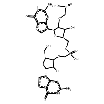 Nc1nc2c(ncn2[C@@H]2O[C@H](CO)C(OCP(=O)(O)OC[C@H]3O[C@@H](n4cnc5c(=O)[nH]c(N)nc54)C(OC[PH](=O)O)C3O)C2O)c(=O)[nH]1